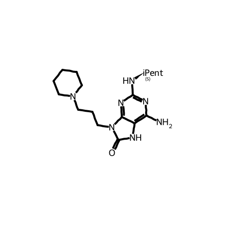 CCC[C@H](C)Nc1nc(N)c2[nH]c(=O)n(CCCN3CCCCC3)c2n1